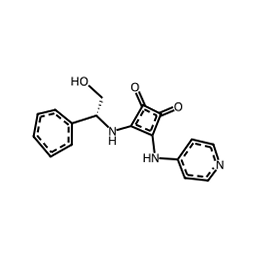 O=c1c(Nc2ccncc2)c(N[C@@H](CO)c2ccccc2)c1=O